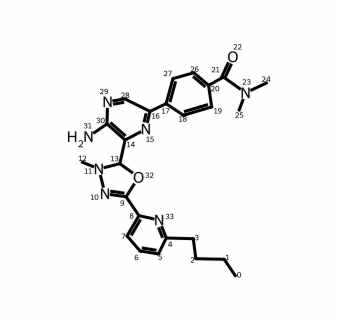 CCCCc1cccc(C2=NN(C)C(c3nc(-c4ccc(C(=O)N(C)C)cc4)cnc3N)O2)n1